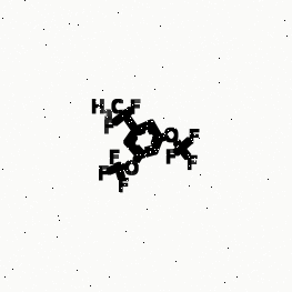 CC(F)(F)c1cc(OC(F)(F)F)cc(OC(F)(F)F)c1